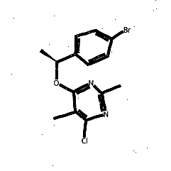 Cc1nc(Cl)c(C)c(O[C@@H](C)c2ccc(Br)cc2)n1